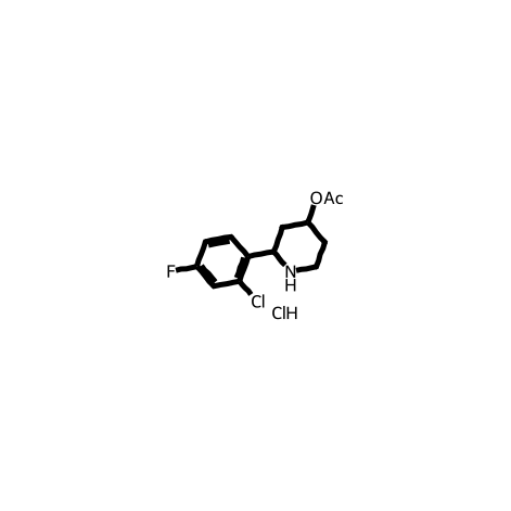 CC(=O)OC1CCNC(c2ccc(F)cc2Cl)C1.Cl